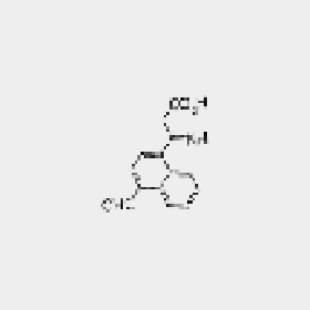 N=C(CC(=O)O)c1ccc(C=O)c2ccccc12